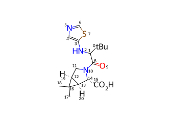 CC(C)(C)C(Nc1cncs1)C(=O)N1C[C@H]2[C@@H]([C@H]1C(=O)O)C2(C)C